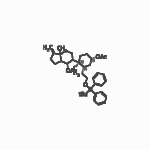 C=C1CCC2C(OC(C)=O)C([C@@]3(C)CC[C@H](OC(C)=O)C[C@@H]3CCO[Si](c3ccccc3)(c3ccccc3)C(C)(C)C)CCC12C